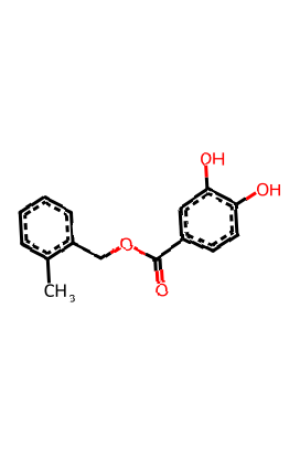 Cc1ccccc1COC(=O)c1ccc(O)c(O)c1